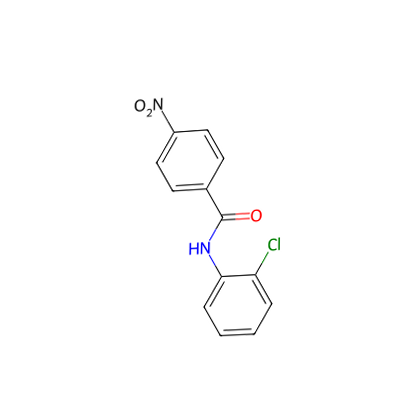 O=C(Nc1ccccc1Cl)c1ccc([N+](=O)[O-])cc1